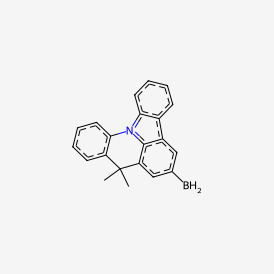 Bc1cc2c3c(c1)c1ccccc1n3-c1ccccc1C2(C)C